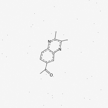 CC(=O)c1ccc2nc(C)c(C)nc2c1